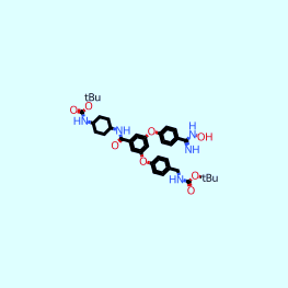 CC(C)(C)OC(=O)NCc1ccc(Oc2cc(Oc3ccc(C(=N)NO)cc3)cc(C(=O)NC3CCC(NC(=O)OC(C)(C)C)CC3)c2)cc1